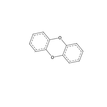 [c]1cccc2c1Oc1ccccc1O2